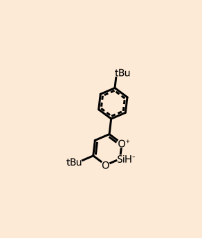 CC(C)(C)C1=CC(c2ccc(C(C)(C)C)cc2)=[O+][SiH-]O1